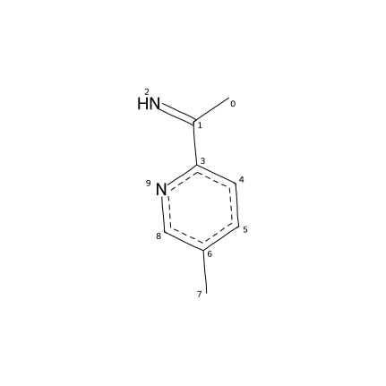 CC(=N)c1ccc(C)cn1